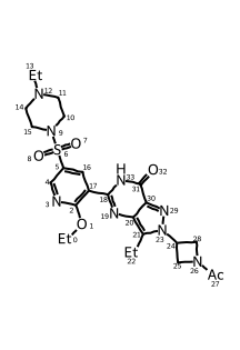 CCOc1ncc(S(=O)(=O)N2CCN(CC)CC2)cc1-c1nc2c(CC)n(C3CN(C(C)=O)C3)nc2c(=O)[nH]1